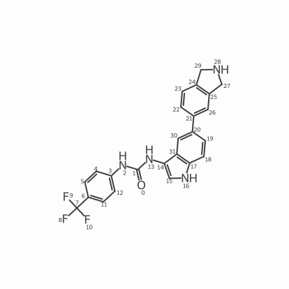 O=C(Nc1ccc(C(F)(F)F)cc1)Nc1c[nH]c2ccc(-c3ccc4c(c3)CNC4)cc12